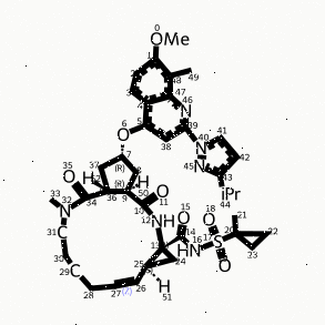 COc1ccc2c(O[C@@H]3C[C@H]4C(=O)N[C@]5(C(=O)NS(=O)(=O)C6(C)CC6)C[C@H]5/C=C\CCCCN(C)C(=O)[C@@H]4C3)cc(-n3ccc(C(C)C)n3)nc2c1C